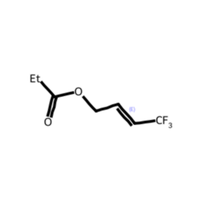 CCC(=O)OC/C=C/C(F)(F)F